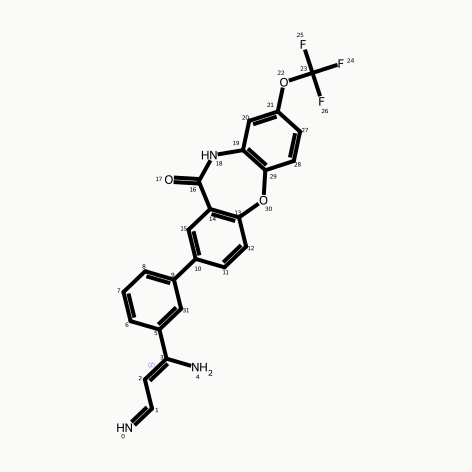 N=C/C=C(\N)c1cccc(-c2ccc3c(c2)C(=O)Nc2cc(OC(F)(F)F)ccc2O3)c1